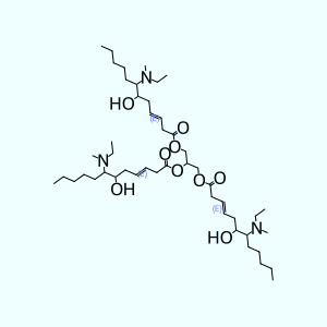 CCCCCC(C(O)C/C=C/CC(=O)OCC(COC(=O)C/C=C/CC(O)C(CCCCC)N(C)CC)OC(=O)C/C=C/CC(O)C(CCCCC)N(C)CC)N(C)CC